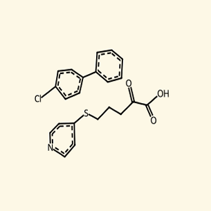 Clc1ccc(-c2ccccc2)cc1.O=C(O)C(=O)CCCSc1ccncc1